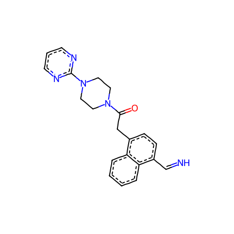 N=Cc1ccc(CC(=O)N2CCN(c3ncccn3)CC2)c2ccccc12